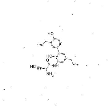 C=CCc1cc(NC(=O)[C@@H](N)C(C)C)c(O)c(-c2ccc(O)c(CC=C)c2)c1.Cl